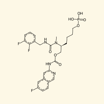 CN(C(=O)NCc1cccc(F)c1F)[C@@H](CCCCOP(=O)(O)O)COC(=O)Nc1cc2cc(F)ccc2cn1